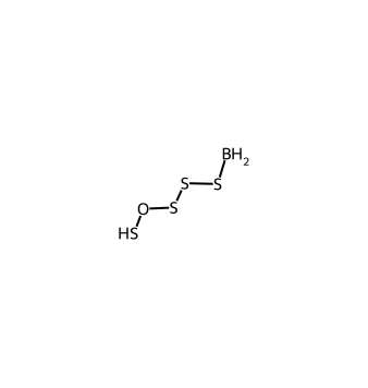 BSSSOS